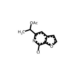 CC(=O)OC(C)c1cc2ccoc2c(Cl)n1